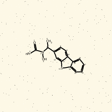 CCCC(=O)N(O)C(C)c1ccc2c(c1)sc1ccccc12